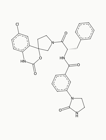 O=C1Nc2ccc(Cl)cc2C2(CCN(C(=O)[C@H](Cc3ccccc3)NC(=O)c3cccc(N4CCNC4=O)c3)C2)O1